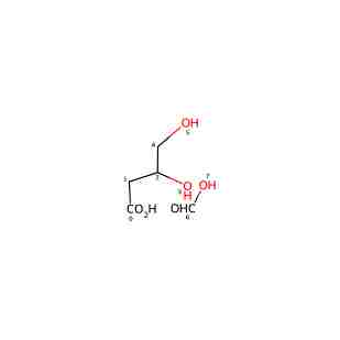 O=C(O)CC(O)CO.O=CO